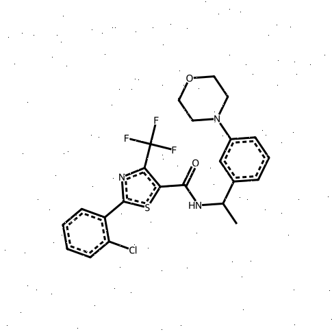 CC(NC(=O)c1sc(-c2ccccc2Cl)nc1C(F)(F)F)c1cccc(N2CCOCC2)c1